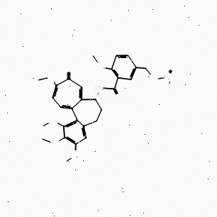 COc1ccc(CO[N+](=O)[O-])cc1C(=O)N[C@H]1CCc2cc(OC)c(OC)c(OC)c2-c2ccc(SC)c(=O)cc21